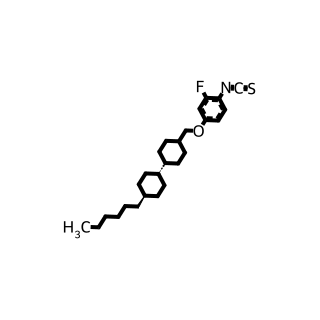 CCCCCC[C@H]1CC[C@H](C2CCC(COc3ccc(N=C=S)c(F)c3)CC2)CC1